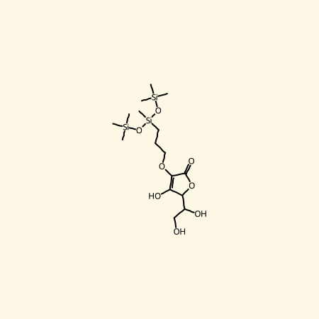 C[Si](C)(C)O[Si](C)(CCCOC1=C(O)C(C(O)CO)OC1=O)O[Si](C)(C)C